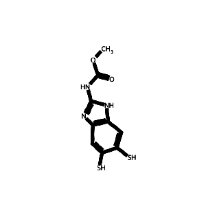 COC(=O)Nc1nc2cc(S)c(S)cc2[nH]1